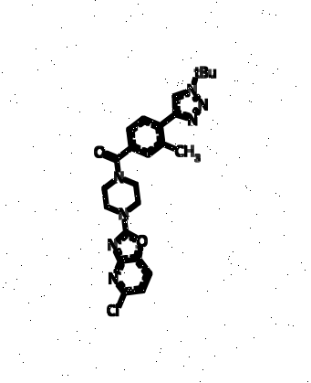 Cc1cc(C(=O)N2CCN(c3nc4nc(Cl)ccc4o3)CC2)ccc1-c1cn(C(C)(C)C)nn1